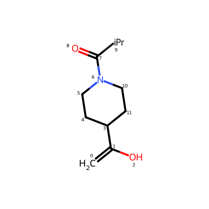 C=C(O)C1CCN(C(=O)C(C)C)CC1